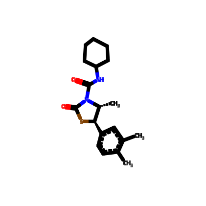 Cc1ccc([C@H]2SC(=O)N(C(=O)NC3CCCCC3)[C@@H]2C)cc1C